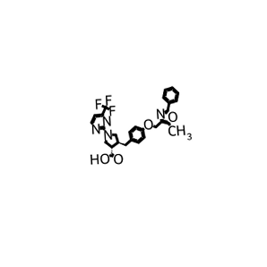 Cc1oc(-c2ccccc2)nc1COc1ccc(C[C@@H]2CN(c3nccc(C(F)(F)F)n3)C[C@H]2C(=O)O)cc1